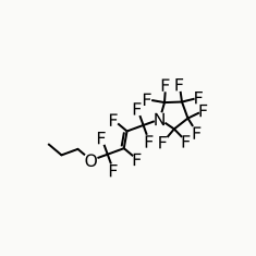 CCCOC(F)(F)/C(F)=C(\F)C(F)(F)N1C(F)(F)C(F)(F)C(F)(F)C1(F)F